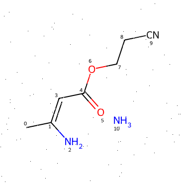 C/C(N)=C/C(=O)OCCC#N.N